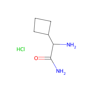 Cl.NC(=O)C(N)C1CCC1